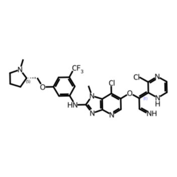 CN1CCC[C@H]1COc1cc(Nc2nc3ncc(O/C(C=N)=C4/NC=CN=C4Cl)c(Cl)c3n2C)cc(C(F)(F)F)c1